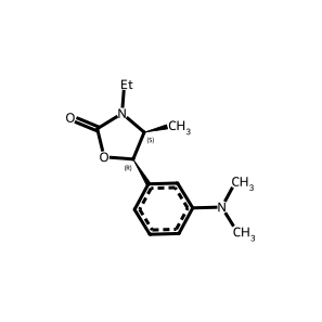 CCN1C(=O)O[C@H](c2cccc(N(C)C)c2)[C@@H]1C